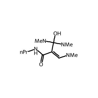 CCCNC(=O)C(=CNC)C(O)(NC)NC